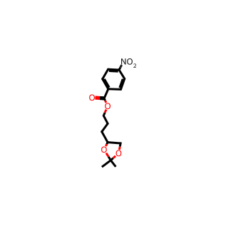 CC1(C)OCC(CCCOC(=O)c2ccc([N+](=O)[O-])cc2)O1